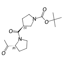 CC(=O)[C@H]1CCCN1C(=O)[C@H]1CCN(C(=O)OC(C)(C)C)C1